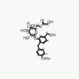 COc1ccc(Cc2ccc(CO)cc2O[C@@H]2O[C@H](COC(=O)CO)[C@@](C)(O)[C@H](O)[C@H]2O)cc1